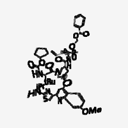 C=C[C@@H]1C[C@]1(NC(=O)C1C[C@@H](Oc2cc(-c3csc(NC(C)C)n3)nc3cc(OC)ccc23)CN1C(=O)C(NC(=O)OC1CCCC1)C(C)(C)C)P(C)(=O)OCOC(=O)c1ccccc1